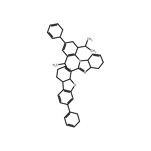 CC(C)C1=C(N2C(C3=CCCC4c5ccc(C6=CC=CCC6)cc5OC34)=NC3CCC=CC32)C(C(C)C)CC(C2C=CC=CC2)=C1